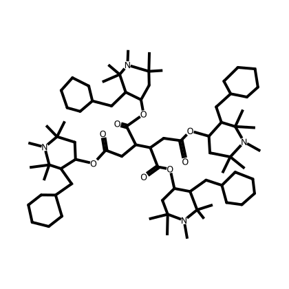 CN1C(C)(C)CC(OC(=O)CC(C(=O)OC2CC(C)(C)N(C)C(C)(C)C2CC2CCCCC2)C(CC(=O)OC2CC(C)(C)N(C)C(C)(C)C2CC2CCCCC2)C(=O)OC2CC(C)(C)N(C)C(C)(C)C2CC2CCCCC2)C(CC2CCCCC2)C1(C)C